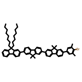 CCCCCCCCC1(CCCCCCCC)c2ccccc2-c2ccc(-c3ccc4c(c3)C(C)(C)c3cc(-c5ccc6c(c5)C(C)(C)c5cc(-c7cc(C)c(Br)c(C)c7)ccc5-6)ccc3-4)cc21